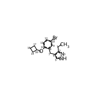 CCc1n[nH]cc1Cc1cc(Br)ccc1OC1CCC1